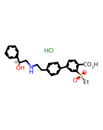 CCS(=O)(=O)c1cc(-c2ccc(CCNC[C@@H](O)c3ccccc3)cc2)ccc1C(=O)O.Cl